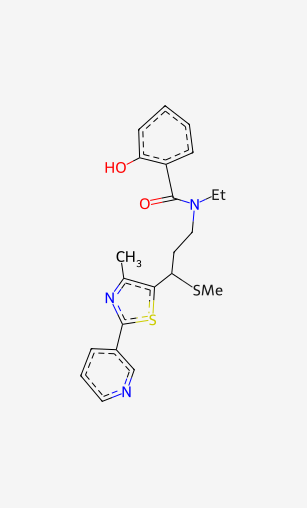 CCN(CCC(SC)c1sc(-c2cccnc2)nc1C)C(=O)c1ccccc1O